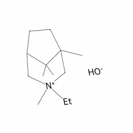 CC[N+]1(C)CC2CCC(C)(C1)C2(C)C.[OH-]